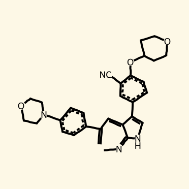 C=C(/C=C1/C(c2ccc(OC3CCOCC3)c(C#N)c2)=CN/C1=N/C)c1ccc(N2CCOCC2)cc1